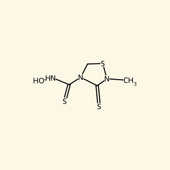 CN1SCN(C(=S)NO)C1=S